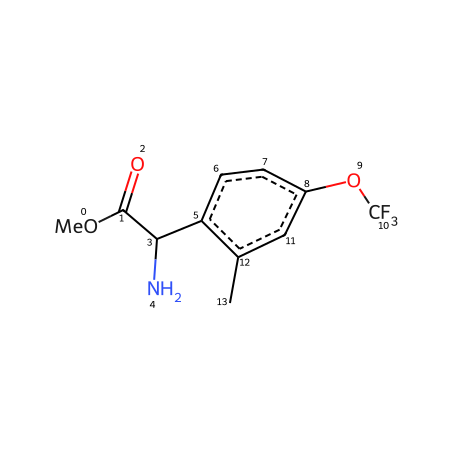 COC(=O)C(N)c1ccc(OC(F)(F)F)cc1C